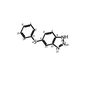 c1ccc(Sc2ccc3[nH]nnc3c2)cc1